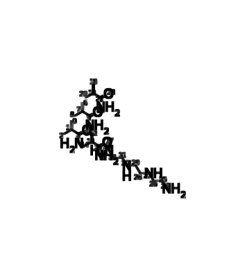 C=C(C)C(N)=O.C=C(C)C(N)=O.C=C(C)C(N)=O.C=C(C)C(N)=O.NCCNCCNCCN